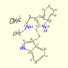 O=CN[C@H](C=O)Cc1c(CCc2c[nH]c3ccccc23)[nH]c2ccccc12